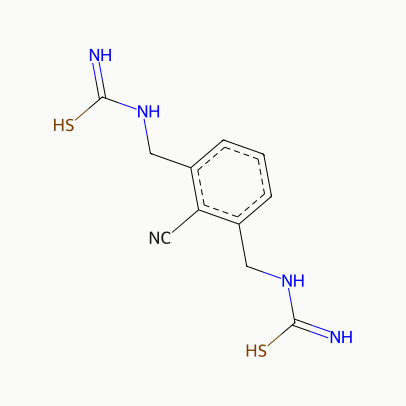 N#Cc1c(CNC(=N)S)cccc1CNC(=N)S